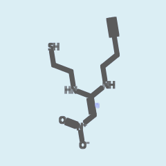 C#CCCN/C(=C/[N+](=O)[O-])NCCS